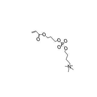 C=CC(=O)OCCCOP(=O)([O-])OCCCC[N+](C)(C)C